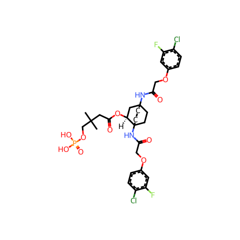 CC(C)(COP(=O)(O)O)CC(=O)O[C@H]1CC2(NC(=O)COc3ccc(Cl)c(F)c3)CCC1(NC(=O)COc1ccc(Cl)c(F)c1)CC2